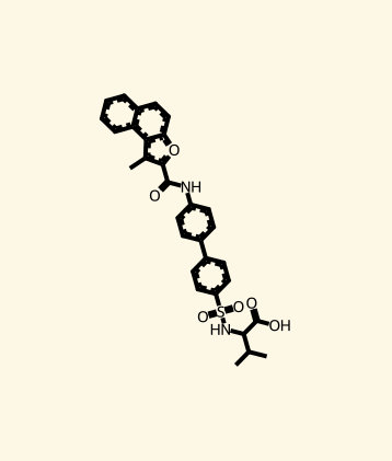 Cc1c(C(=O)Nc2ccc(-c3ccc(S(=O)(=O)NC(C(=O)O)C(C)C)cc3)cc2)oc2ccc3ccccc3c12